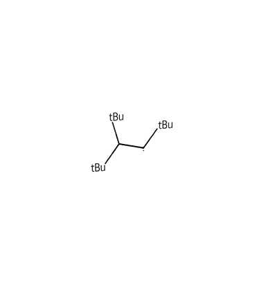 CC(C)(C)[CH]C(C(C)(C)C)C(C)(C)C